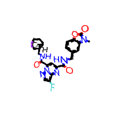 Cn1c(=O)oc2ccc(CNC(=O)c3cc(C(=O)NC[C@H]4CI5CCC4CC5)n4ncc(F)c4n3)cc21